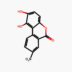 O=c1oc2ccc(O)c(O)c2c2ccc([N+](=O)[O-])cc12